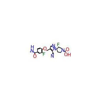 CNC(=O)c1ccc(OCc2cnn([C@H]3CCN(C(=O)O)C[C@@H]3F)c2C#N)c(F)c1